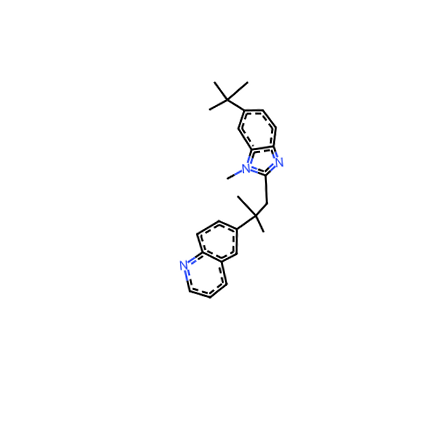 Cn1c(CC(C)(C)c2ccc3ncccc3c2)nc2ccc(C(C)(C)C)cc21